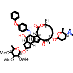 CC[C@H]1CCC[C@H](OC2CC[C@H](N(C)C)C(C)O2)[C@@H](C)C(=O)C2=C[C@H]3[C@@H]4C[C@H](O[C@@H]5OC(C)[C@H](OC)C(OC)C5OC)C[C@H]4[C@@H](O)[C@H](Nc4ccc(Oc5ccccc5)cc4)[C@H]3[C@@H]2CC(=O)O1